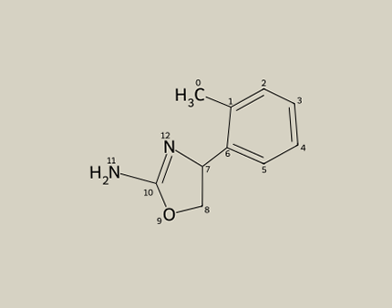 Cc1ccccc1C1COC(N)=N1